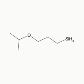 CC(C)OCCC[SiH3]